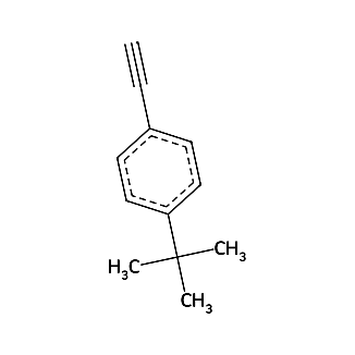 [C]#Cc1ccc(C(C)(C)C)cc1